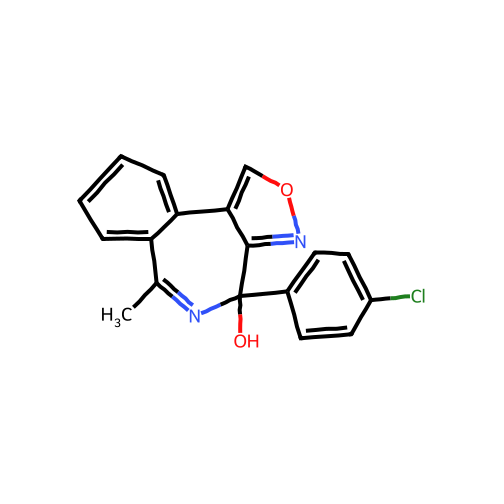 CC1=NC(O)(c2ccc(Cl)cc2)c2nocc2-c2ccccc21